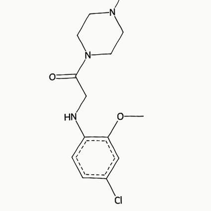 COc1cc(Cl)ccc1NCC(=O)N1CCN(C)CC1